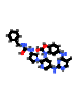 Cc1cnc(Nc2ccc(N3CCC(NC(=O)NCc4ccccc4)C3)nc2)nc1Nc1ccc2oc(=O)[nH]c2c1